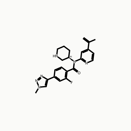 C=C(C)c1ccnc(N(C(=O)c2ccc(-c3cn(C)nn3)cc2F)[C@@H]2CCCNC2)c1